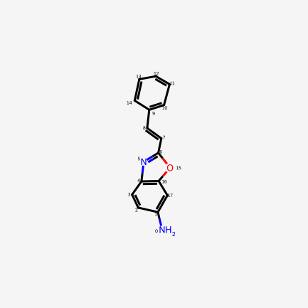 Nc1ccc2nc(/C=C/c3ccccc3)oc2c1